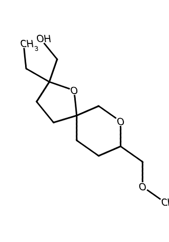 CCC1(CO)CCC2(CCC(COC)OC2)O1